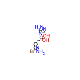 Nc1nc2cc(CC[C@H]3C[C@@H](n4ccc5c(N)nccc54)[C@H](O)[C@@H]3O)ccc2cc1Br